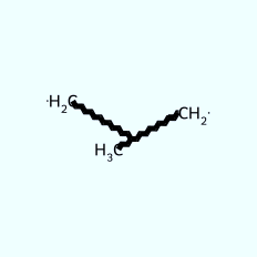 [CH2]C/C=C/CCCCCCCC(CCC)CCCCCCCCCCCC[CH2]